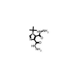 CC(C)(C)n1cnc(C(=O)NN)c1C(=O)NN